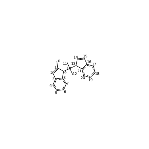 CC1=Cc2ccccc2C1C(C)(C)C1C=Cc2ccccc21